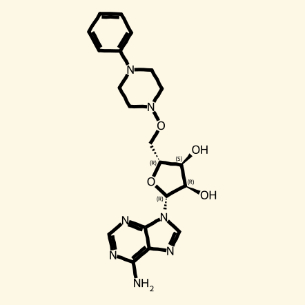 Nc1ncnc2c1ncn2[C@@H]1O[C@H](CON2CCN(c3ccccc3)CC2)[C@@H](O)[C@H]1O